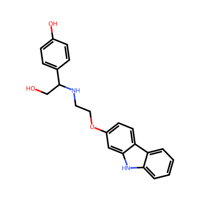 OCC(NCCOc1ccc2c(c1)[nH]c1ccccc12)c1ccc(O)cc1